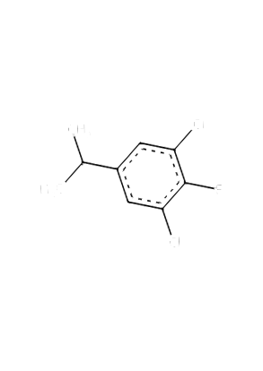 C[C](C)c1cc(Cl)c(F)c(Cl)c1